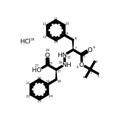 CC(C)(C)OC(=O)[C@H](Cc1ccccc1)NN[C@@H](Cc1ccccc1)C(=O)O.Cl